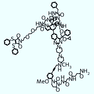 COc1ccc(C#CCNC2(C)CCN(C3CCN(c4nc([C@@](COCNC(=O)CNC(=O)[C@H](Cc5ccccc5)NC(=O)CNC(=O)CNC(=O)CCOCCOCCN5C(=O)C(Sc6ccccc6)=C(Sc6ccccc6)C5=O)(OC5CC5)c5ccccc5)c5cc(-c6cn(C)c(=O)c7[nH]ccc67)ccc5n4)CC3)CC2)cc1N1CCC(=O)N(CNC(=O)CNC(=O)CCC(N)=O)C1=O